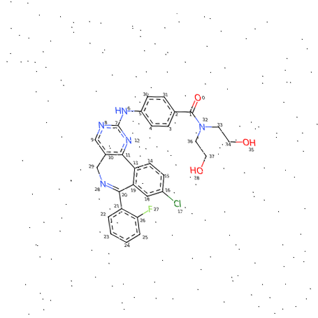 O=C(c1ccc(Nc2ncc3c(n2)-c2ccc(Cl)cc2C(c2ccccc2F)=NC3)cc1)N(CCO)CCO